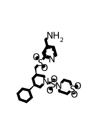 NCc1ccnc(S(=O)(=O)C[C@@H]2C[C@H](C3CCCCC3)CN(S(=O)(=O)N3CCS(=O)(=O)CC3)C2)c1